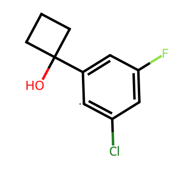 OC1(c2[c]c(Cl)cc(F)c2)CCC1